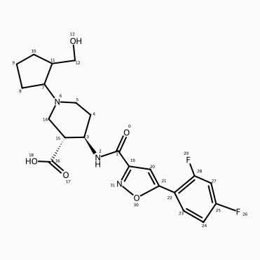 O=C(N[C@@H]1CCN(C2CCCC2CO)C[C@H]1C(=O)O)c1cc(-c2ccc(F)cc2F)on1